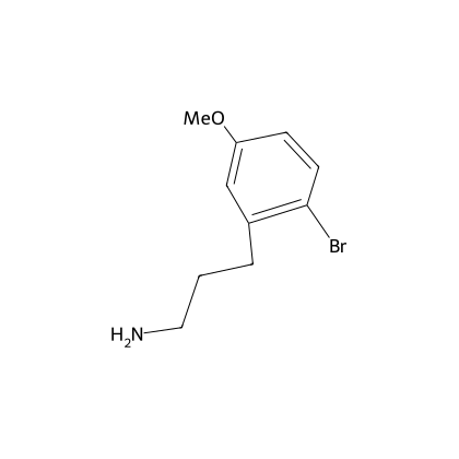 COc1ccc(Br)c(CCCN)c1